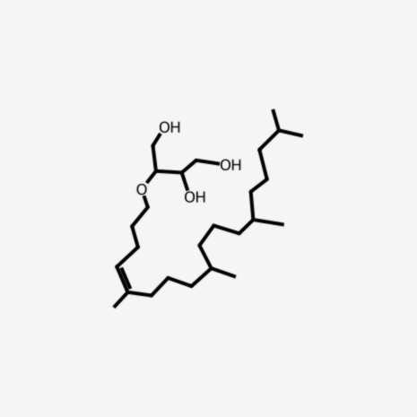 CC(=CCCCOC(CO)C(O)CO)CCCC(C)CCCC(C)CCCC(C)C